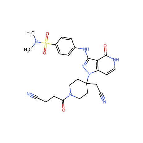 CN(C)S(=O)(=O)c1ccc(Nc2nn(C3(CC#N)CCN(C(=O)CCC#N)CC3)c3cc[nH]c(=O)c23)cc1